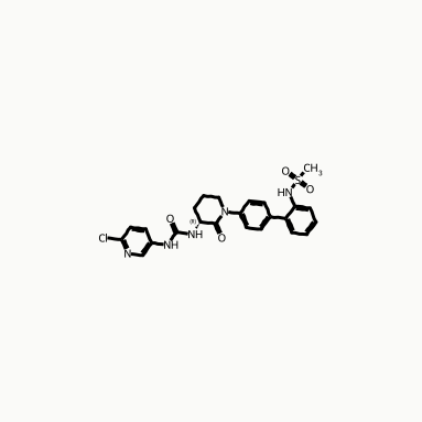 CS(=O)(=O)Nc1ccccc1-c1ccc(N2CCC[C@@H](NC(=O)Nc3ccc(Cl)nc3)C2=O)cc1